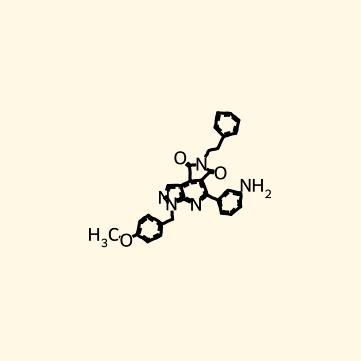 COc1ccc(Cn2ncc3c4c(c(-c5cccc(N)c5)nc32)C(=O)N(CCc2ccccc2)C4=O)cc1